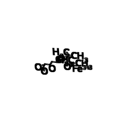 CC(C)C[O-].CC(C)C[O-].CCCC(=O)CC(=O)[O-].[Fe+3]